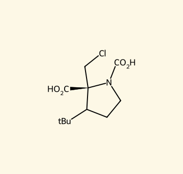 CC(C)(C)C1CCN(C(=O)O)[C@]1(CCl)C(=O)O